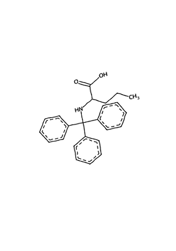 CCCC(NC(c1ccccc1)(c1ccccc1)c1ccccc1)C(=O)O